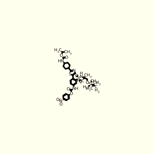 CC(C)OC(=O)NC1CCC(c2ncc(-c3ccc(NC(=O)Oc4ccc([N+](=O)[O-])cc4)cc3S(=O)(=O)NC(C)(C)CO[Si](C)(C)C(C)(C)C)s2)CC1